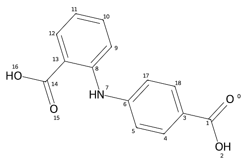 O=C(O)c1ccc(Nc2ccccc2C(=O)O)cc1